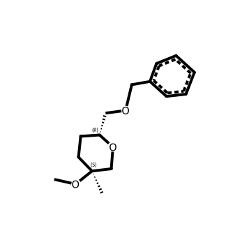 CO[C@@]1(C)CC[C@H](COCc2ccccc2)OC1